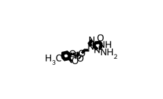 Cc1ccc2c(c1)COP(=O)(COCCn1cnc3c(=O)[nH]c(N)nc31)O2